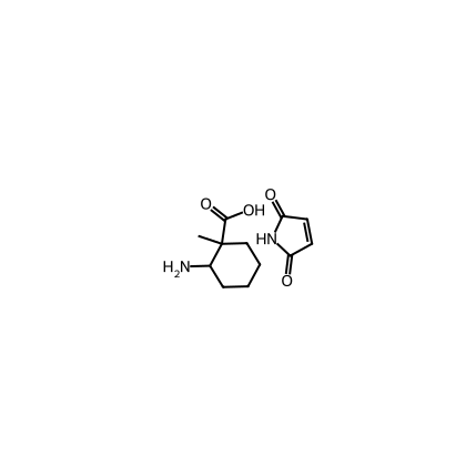 CC1(C(=O)O)CCCCC1N.O=C1C=CC(=O)N1